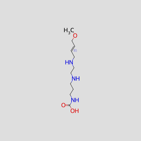 COC/C=C/CNCCNCCCNC(=O)O